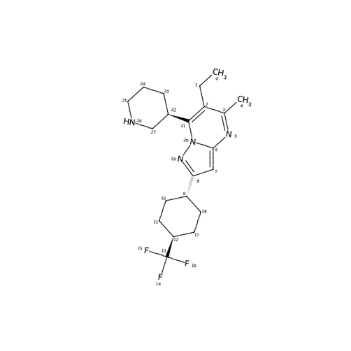 CCc1c(C)nc2cc([C@H]3CC[C@H](C(F)(F)F)CC3)nn2c1[C@@H]1CCCNC1